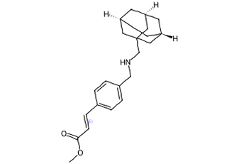 COC(=O)/C=C/c1ccc(CNCC23C[C@H]4C[C@H](C2)C[C@@H](C3)C4)cc1